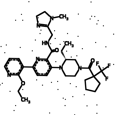 CCOc1ncccc1-c1ccc(N2CCN(C(=O)C3(C(F)(F)F)CCCC3)C[C@H]2CC)c(C(=O)NCC2=NCCN2C)n1